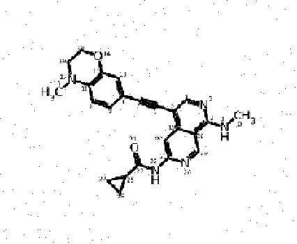 CNc1ncc(C#Cc2ccc3c(c2)OCCN3C)c2cc(NC(=O)C3CC3)ncc12